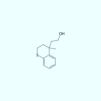 CC1(CCO)CCSc2ccccc21